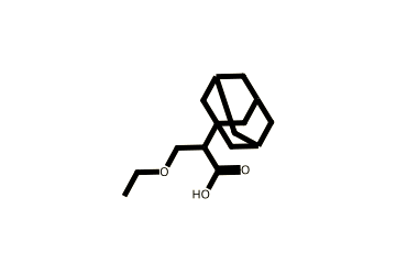 CCOCC(C(=O)O)C12CC3CC(CC(C3)C1)C2